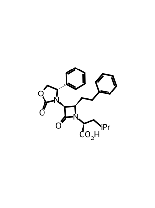 CC(C)C[C@@H](C(=O)O)N1C(=O)[C@@H](N2C(=O)OC[C@@H]2c2ccccc2)[C@H]1CCc1ccccc1